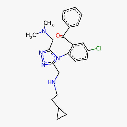 CN(C)Cc1nnc(CNCCC2CC2)n1-c1ccc(Cl)cc1C(=O)c1ccccc1